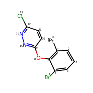 CC(C)c1cccc(Br)c1Oc1ccc(Cl)nn1